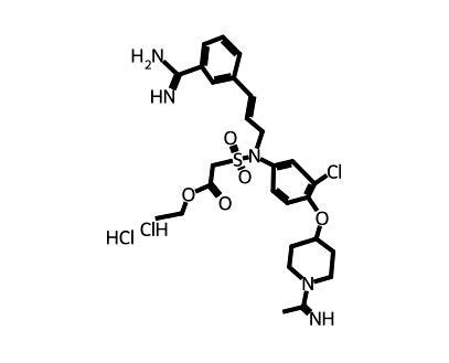 CCOC(=O)CS(=O)(=O)N(C/C=C/c1cccc(C(=N)N)c1)c1ccc(OC2CCN(C(C)=N)CC2)c(Cl)c1.Cl.Cl